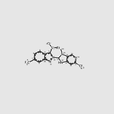 CC[S+]([O-])c1c2ccc(C(F)(F)F)cc2nn1C1Nc2cc(C(F)(F)F)ncc2N1C